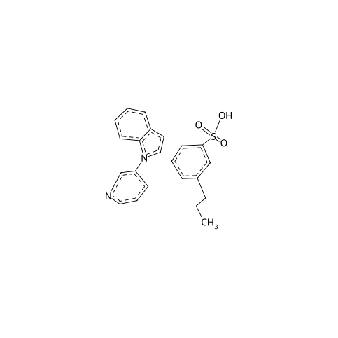 CCCc1cccc(S(=O)(=O)O)c1.c1cncc(-n2ccc3ccccc32)c1